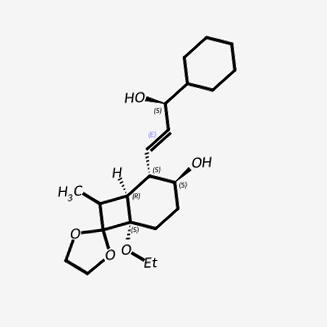 CCO[C@@]12CC[C@H](O)[C@@H](/C=C/[C@@H](O)C3CCCCC3)[C@@H]1C(C)C21OCCO1